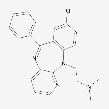 CN(C)CCN1c2ccc(Cl)cc2C(c2ccccc2)=Nc2cccnc21